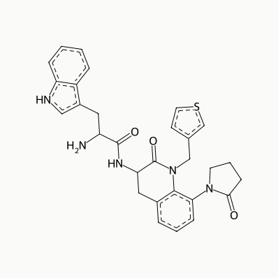 NC(Cc1c[nH]c2ccccc12)C(=O)NC1Cc2cccc(N3CCCC3=O)c2N(Cc2ccsc2)C1=O